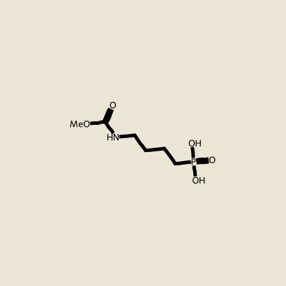 COC(=O)NCCCCP(=O)(O)O